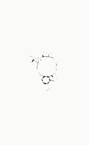 COC(=O)C1CSCc2ccc(OC)c(C)c2C(=O)OCCCCC(O)C(=O)N1